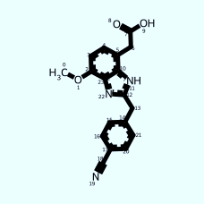 COc1ccc(CC(=O)O)c2[nH]c(Cc3ccc(C#N)cc3)nc12